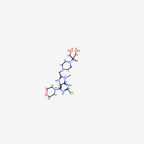 Cn1c(CN2CCN(C(C)(CO)CO)CC2)nc2c(N3CCOCC3)nc(Cl)nc21